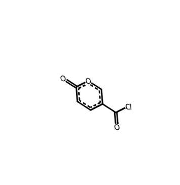 O=C(Cl)c1ccc(=O)oc1